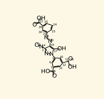 [C-]#[N+]c1nn(-c2cc(C(=O)O)cc(C(=O)O)c2)c(O)c1/N=N/c1cccc(C(=O)O)c1